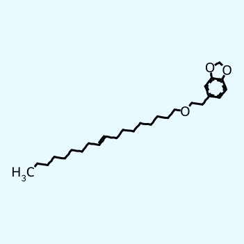 CCCCCCCCC=CCCCCCCCCOCCc1ccc2c(c1)OCO2